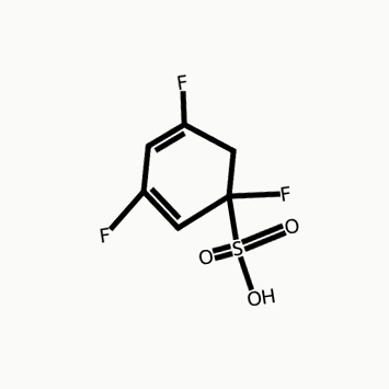 O=S(=O)(O)C1(F)C=C(F)C=C(F)C1